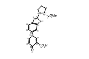 COC[C@H]1CCCN1c1nc2ccc(-n3ccc(=O)c(C(=O)O)c3)cc2s1